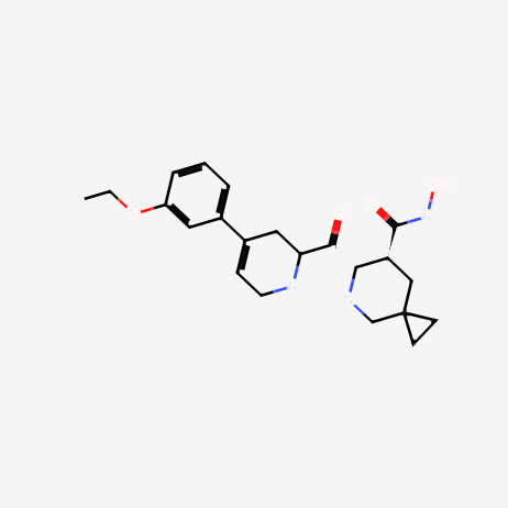 CCOc1cccc(C2=CCNC(C(=O)[C@H]3NCC4(CC4)C[C@@H]3C(=O)NO)C2)c1